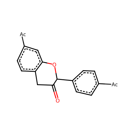 CC(=O)c1ccc(C2Oc3cc(C(C)=O)ccc3CC2=O)cc1